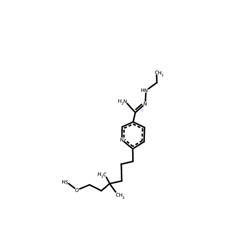 CCN/N=C(\N)c1ccc(CCCC(C)(C)CCOS)nc1